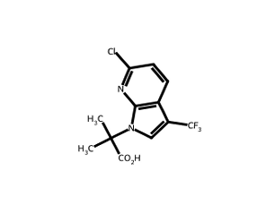 CC(C)(C(=O)O)n1cc(C(F)(F)F)c2ccc(Cl)nc21